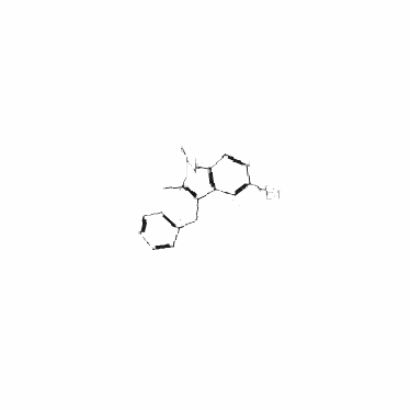 Cc1c(Cc2ccccc2)c2cc(Br)ccc2n1C